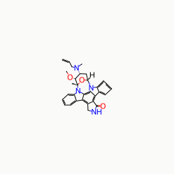 C=CCN(C)[C@@H]1C[C@H]2O[C@@](C)([C@@H]1OC)n1c3ccccc3c3c4c(c5c6ccccc6n2c5c31)C(=O)NC4